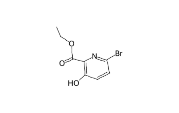 CCOC(=O)c1nc(Br)ccc1O